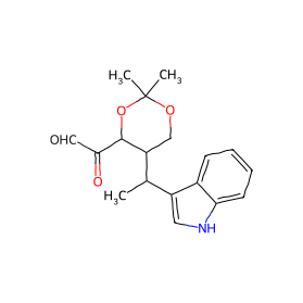 CC(c1c[nH]c2ccccc12)C1COC(C)(C)OC1C(=O)C=O